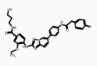 CCOc1cc(C(=O)NCCCO)ccc1Nc1nc2ccc(-c3ccc(NC(=O)Cc4ccc(F)cc4)cc3)cn2n1